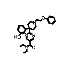 CCN(CC)C(=O)c1cnc(C2(c3cccc(O)c3)CCN(CCOc3ccccc3)CC2)nc1